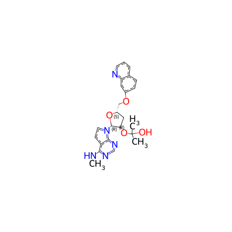 CNc1ncnc2c1ccn2[C@@H]1O[C@H](COc2ccc3cccnc3c2)C[C@H]1OC(C)(C)O